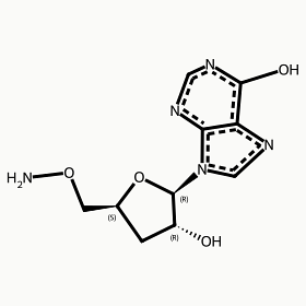 NOC[C@@H]1C[C@@H](O)[C@H](n2cnc3c(O)ncnc32)O1